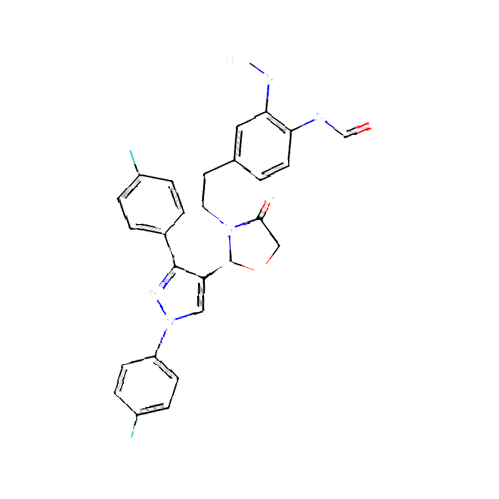 CNc1cc(CCN2C(=O)CO[C@H]2c2cn(-c3ccc(F)cc3)nc2-c2ccc(F)cc2)ccc1NC=O